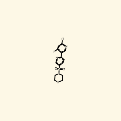 O=S(=O)(c1ccc(-c2cnc(Cl)cc2F)nc1)N1CCOCC1